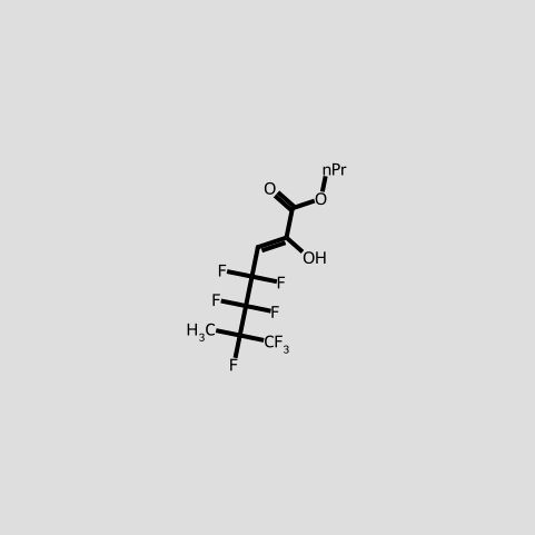 CCCOC(=O)C(O)=CC(F)(F)C(F)(F)C(C)(F)C(F)(F)F